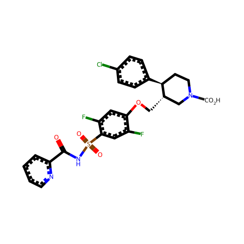 O=C(NS(=O)(=O)c1cc(F)c(OC[C@H]2CN(C(=O)O)CC[C@@H]2c2ccc(Cl)cc2)cc1F)c1ccccn1